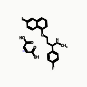 CNC(CCOc1cccc2cc(I)ccc12)c1ccc(F)cc1.O=C(O)/C=C\C(=O)O